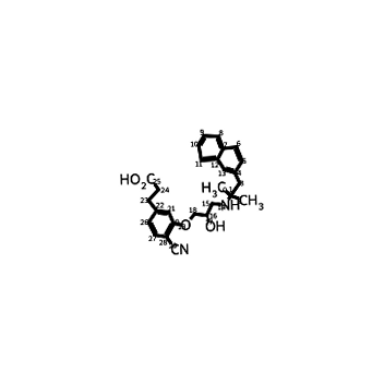 CC(C)(Cc1ccc2ccccc2c1)NC[C@@H](O)COc1cc(CCC(=O)O)ccc1C#N